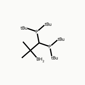 BC(C)(C)C(P(C(C)(C)C)C(C)(C)C)P(C(C)(C)C)C(C)(C)C